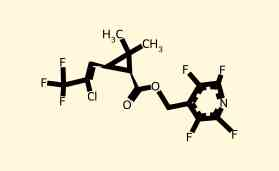 CC1(C)[C@H](C=C(Cl)C(F)(F)F)[C@@H]1C(=O)OCc1c(F)c(F)nc(F)c1F